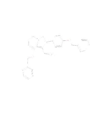 CCc1c(-c2ccc(OCc3ccccc3)cc2)cn2cccc(OCc3ccccc3)c12